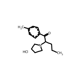 CCCC(C(=O)c1ccc(C)cc1)N1CCCC1.Cl